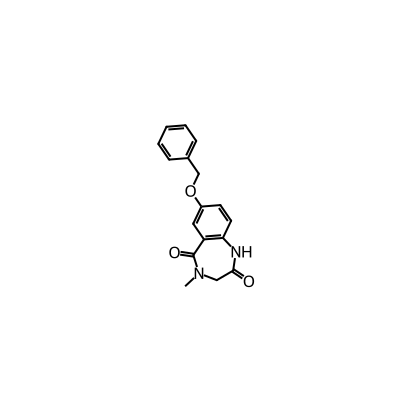 CN1CC(=O)Nc2ccc(OCc3ccccc3)cc2C1=O